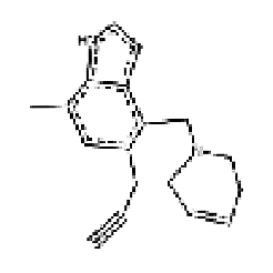 C#CCc1cc(C)c2[nH]ccc2c1CN1CC=CCC1